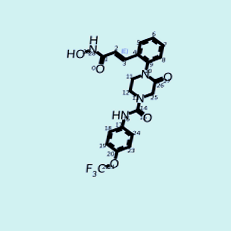 O=C(/C=C/c1ccccc1N1CCN(C(=O)Nc2ccc(OC(F)(F)F)cc2)CC1=O)NO